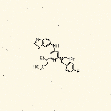 CCC(CC(=O)O)c1cc(Nc2ccc3nc(C)sc3c2)cc(N(Cc2ccc(F)cc2)CC(C)C)n1